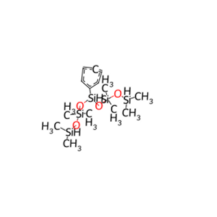 C[SiH](C)O[Si](C)(C)O[SiH](O[Si](C)(C)O[SiH](C)C)c1ccccc1